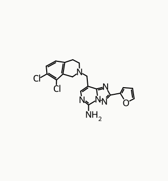 Nc1ncc(CN2CCc3ccc(Cl)c(Cl)c3C2)c2nc(-c3ccco3)nn12